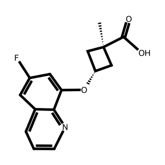 C[C@]1(C(=O)O)C[C@H](Oc2cc(F)cc3cccnc23)C1